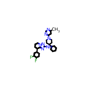 Cc1cc(N2CCC(Nc3nc4c(-c5ccc(F)c(F)c5)cccn4n3)(c3ccccc3)CC2)ncn1